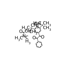 CC(C)(C)c1cc(C(=O)C(=O)c2ccccc2)cc(C(C)(C)C)c1O.CN(C)C(=O)O